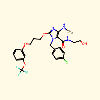 CNc1nc(OCCCOc2cccc(OC(F)(F)F)c2)n(Cc2ccc(Cl)cc2)c1C(=O)NCCO